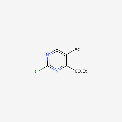 CCOC(=O)c1nc(Cl)ncc1C(C)=O